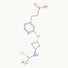 CC(S)N[C@H]1C[C@H](Oc2cc(CCC(=O)C(C)C)ccn2)C1